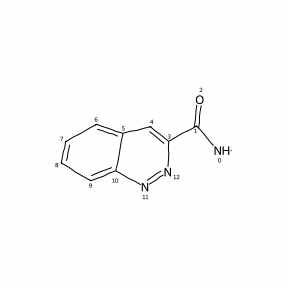 [NH]C(=O)c1cc2ccccc2nn1